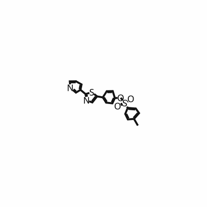 Cc1ccc(S(=O)(=O)Oc2ccc(-c3cnc(-c4cccnc4)s3)cc2)cc1